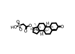 C[C@]12CC[C@H]3[C@@H](CCC4=CC(=O)CC[C@@]43C)[C@@H]1CC[C@@H]2OC(=O)CS(=O)(=O)O